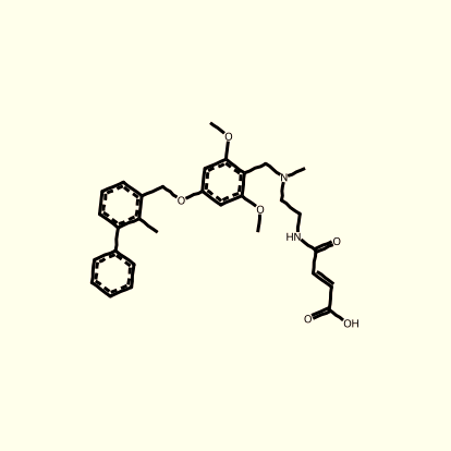 COc1cc(OCc2cccc(-c3ccccc3)c2C)cc(OC)c1CN(C)CCNC(=O)/C=C/C(=O)O